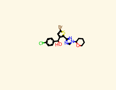 OC(c1ccc(Cl)cc1)c1cc(Br)sc1-c1ncn(C2CCCCO2)n1